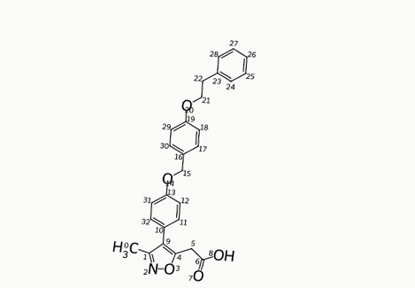 Cc1noc(CC(=O)O)c1-c1ccc(OCc2ccc(OCCc3ccccc3)cc2)cc1